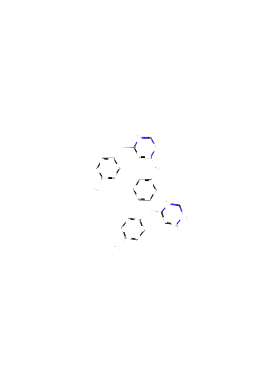 O=[N+]([O-])c1ccc(Oc2cc(Cl)ncn2)cc1.O=[N+]([O-])c1ccc(Oc2cc(Nc3ccccc3)ncn2)cc1